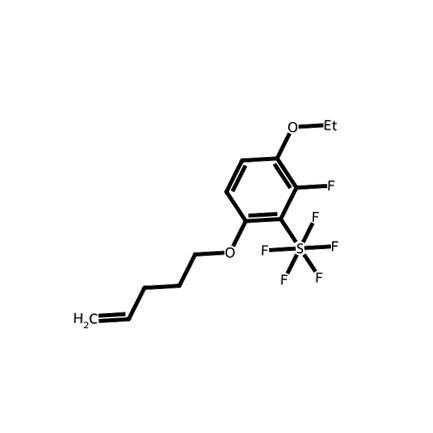 C=CCCCOc1ccc(OCC)c(F)c1S(F)(F)(F)(F)F